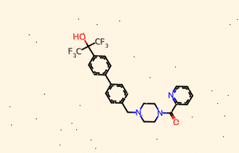 O=C(c1ccccn1)N1CCN(Cc2ccc(-c3ccc(C(O)(C(F)(F)F)C(F)(F)F)cc3)cc2)CC1